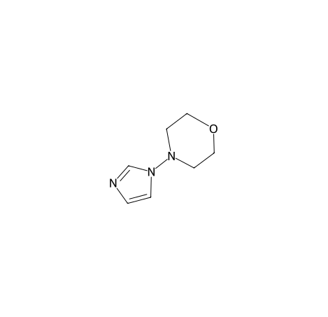 c1cn(N2CCOCC2)cn1